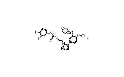 COc1ccc(-c2ccnn2CCOC(=O)Nc2ccc(F)c(F)c2)cc1O[C@@H]1CCOC1